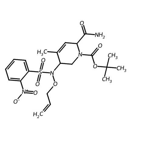 C=CCON(C1CN(C(=O)OC(C)(C)C)C(C(N)=O)C=C1C)S(=O)(=O)c1ccccc1[N+](=O)[O-]